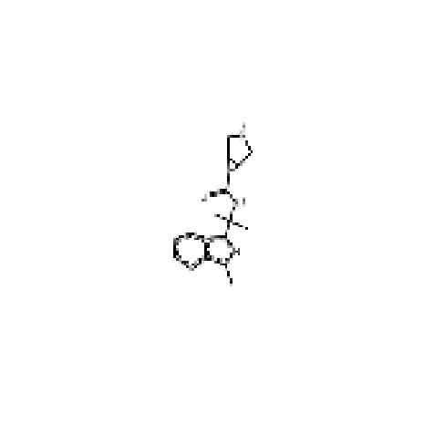 Cc1nc(C(C)(C)NC(=O)C2C3CNCC32)n2ccccc12